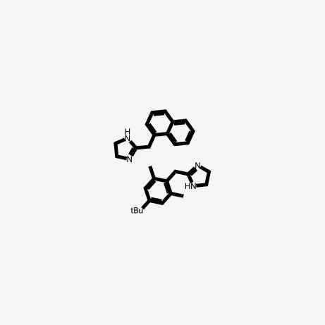 Cc1cc(C(C)(C)C)cc(C)c1CC1=NCCN1.c1ccc2c(CC3=NCCN3)cccc2c1